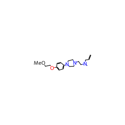 C=CCN(C)CCN1CCN(c2ccc(OCCOC)cc2)CC1